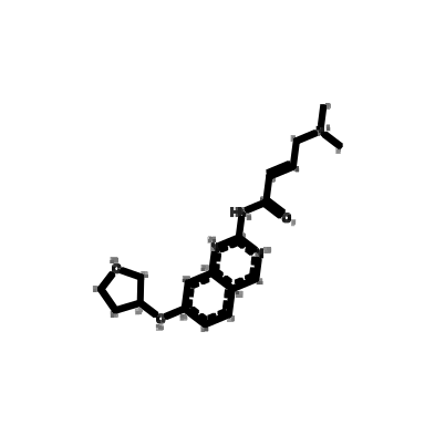 CN(C)CC=CC(=O)Nc1ncc2ccc(OC3CCOC3)cc2n1